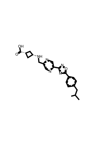 CC(C)Cc1ccc(-c2nc(-c3cnc(CN[C@H]4C[C@@H](C(=O)O)C4)cn3)no2)cc1